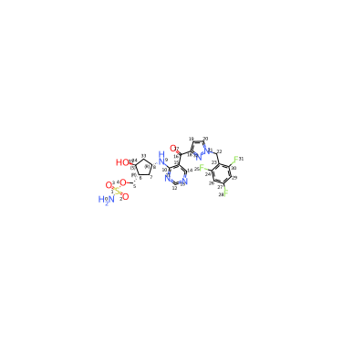 NS(=O)(=O)OC[C@H]1C[C@@H](Nc2ncncc2C(=O)c2ccn(Cc3c(F)cc(F)cc3F)n2)C[C@@H]1O